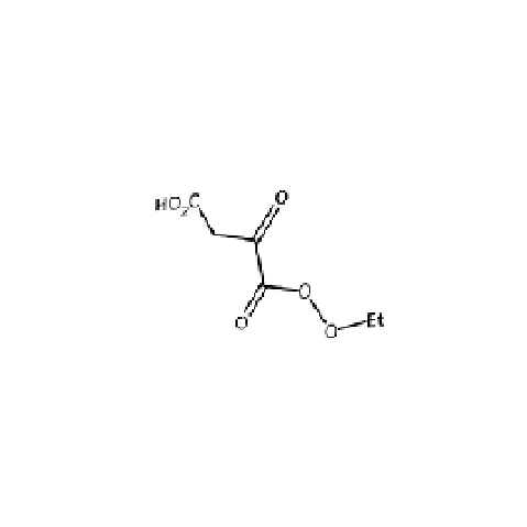 CCOOC(=O)C(=O)CC(=O)O